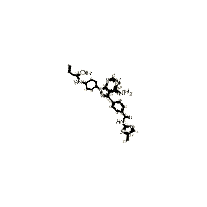 C=CC(O)NC1CCC(n2nc(-c3ccc(C(=O)Nc4ncc(C)s4)cc3)c3c(N)ncnc32)CC1